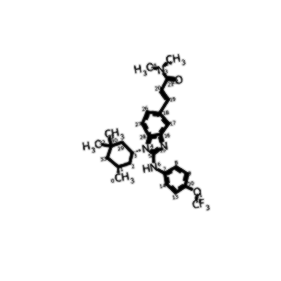 C[C@@H]1C[C@@H](n2c(Nc3ccc(OC(F)(F)F)cc3)nc3cc(/C=C/C(=O)N(C)C)ccc32)CC(C)(C)C1